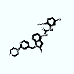 COc1ccc(Br)cc1NC(=O)Nc1cccc2c1cc(I)n2Cc1ccnc(N2CCOCC2)c1